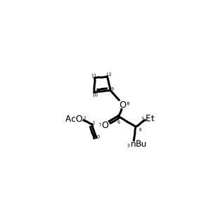 C=COC(C)=O.CCCCC(CC)C(=O)OC1=CCC1